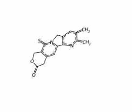 C=c1cc2c(nc1=C)-c1cc3c(c(=S)n1C2)COC(=O)C3